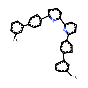 Cc1cccc(-c2ccc(-c3cccc(-c4cccc(-c5ccc(-c6cccc(C)c6)cc5)n4)n3)cc2)c1